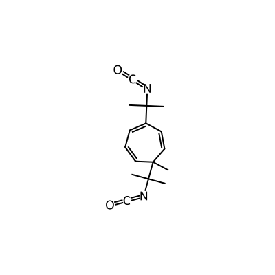 CC(C)(N=C=O)C1=CC=CC(C)(C(C)(C)N=C=O)C=C1